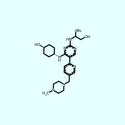 CCCCC(CO)Nc1ncc(-c2ccc(CN3CCN(C)CC3)cn2)c(N[C@H]2CC[C@H](O)CC2)n1